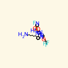 CC(C)(COc1ccn(-c2ncc(NS(=O)(=O)c3ccnc(F)c3)nc2-c2ccccc2CCCCCCN)n1)C(F)(F)F